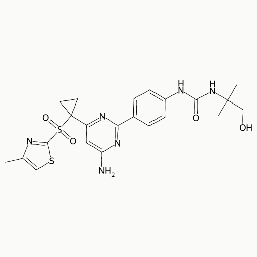 Cc1csc(S(=O)(=O)C2(c3cc(N)nc(-c4ccc(NC(=O)NC(C)(C)CO)cc4)n3)CC2)n1